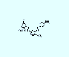 COc1ncc(F)cc1CNc1ncc([N+](=O)[O-])c(NC[C@H]2CC[C@H](N)CC2)n1